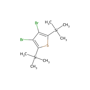 C[Si](C)(C)c1sc([Si](C)(C)C)c(Br)c1Br